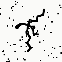 C=C[Si](OCC)(OCCCC)OCCCC